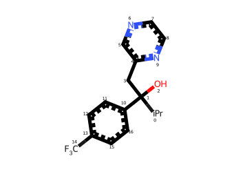 CC(C)C(O)(Cc1cnccn1)c1ccc(C(F)(F)F)cc1